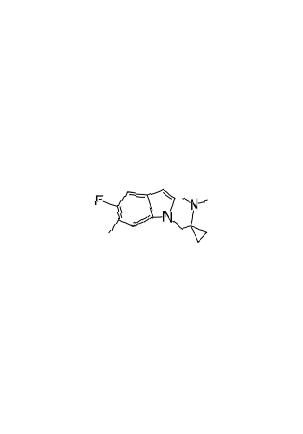 Cc1cc2c(ccn2CC2(N(C)C)CC2)cc1F